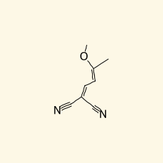 CO/C(C)=C\C=C(C#N)C#N